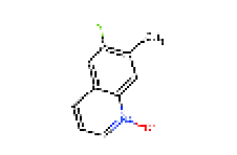 Cc1cc2c(ccc[n+]2[O-])cc1F